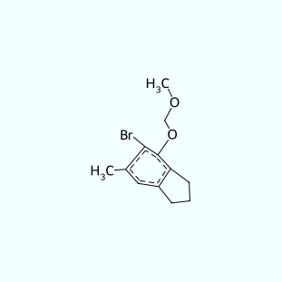 COCOc1c(Br)c(C)cc2c1CCC2